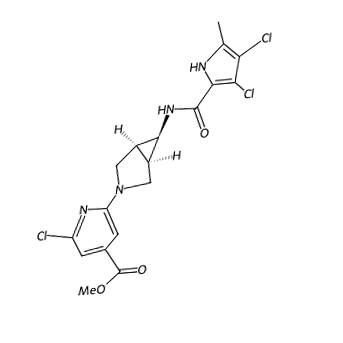 COC(=O)c1cc(Cl)nc(N2C[C@@H]3[C@H](C2)[C@@H]3NC(=O)c2[nH]c(C)c(Cl)c2Cl)c1